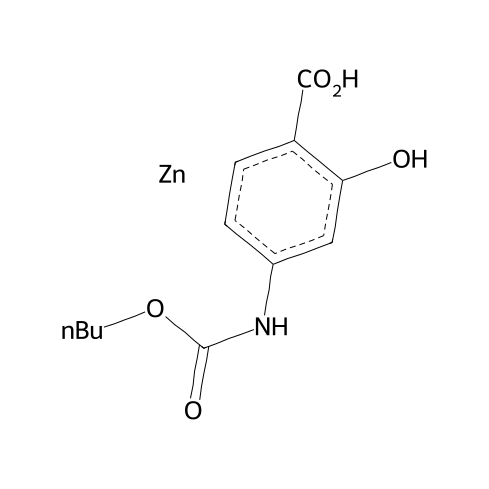 CCCCOC(=O)Nc1ccc(C(=O)O)c(O)c1.[Zn]